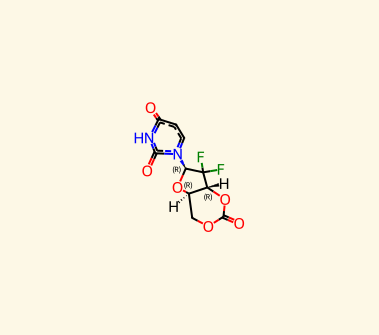 O=C1OC[C@H]2O[C@@H](n3ccc(=O)[nH]c3=O)C(F)(F)[C@@H]2O1